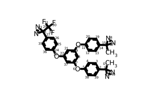 CC1(c2ccc(Oc3cc(Oc4ccc(C5(C)N=N5)cc4)cc(Oc4ccc(C5(C(F)(F)F)N=N5)cc4)c3)cc2)N=N1